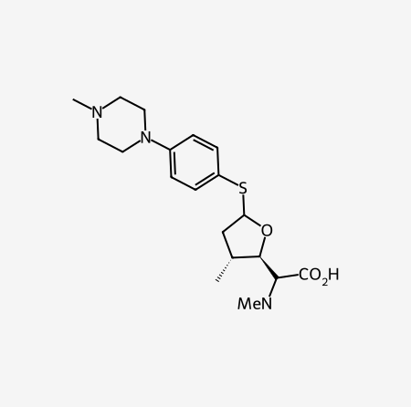 CNC(C(=O)O)[C@@H]1OC(Sc2ccc(N3CCN(C)CC3)cc2)C[C@H]1C